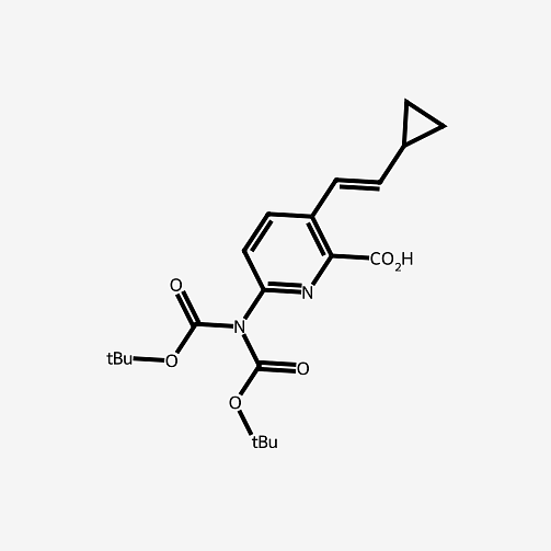 CC(C)(C)OC(=O)N(C(=O)OC(C)(C)C)c1ccc(/C=C/C2CC2)c(C(=O)O)n1